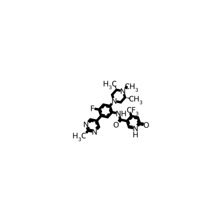 Cc1ncc(-c2cc(NC(=O)c3c[nH]c(=O)cc3C(F)(F)F)c(N3C[C@@H](C)N(C)[C@@H](C)C3)cc2F)cn1